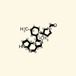 C[C@@H]1CCN([C@]2(C)CCN(C=O)C2)C(c2ncc3cnc4[nH]ccc4n23)C1